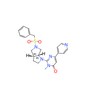 Cn1c(N2CC[C@@H]3CN(S(=O)(=O)Cc4ccccc4)C[C@@H]32)nc(-c2ccncc2)cc1=O